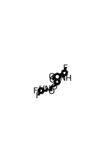 O=C(COc1ccc2c(c1)S(=O)(=O)CCc1c-2[nH]c2ccc(F)cc12)NCc1ccc(F)c(F)c1